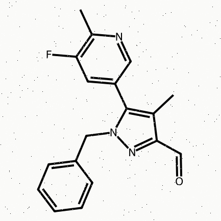 Cc1ncc(-c2c(C)c(C=O)nn2Cc2ccccc2)cc1F